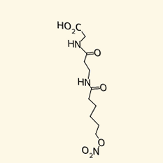 O=C(O)CNC(=O)CCNC(=O)CCCCCO[N+](=O)[O-]